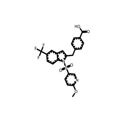 COc1ccc(S(=O)(=O)n2c(Cc3ccc(C(=O)O)cc3)cc3cc(C(F)(F)F)ccc32)cn1